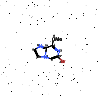 COc1nc(Br)cn2ccnc12